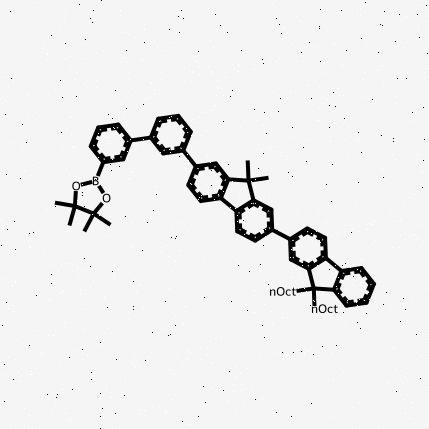 CCCCCCCCC1(CCCCCCCC)c2ccccc2-c2ccc(-c3ccc4c(c3)C(C)(C)c3cc(-c5cccc(-c6cccc(B7OC(C)(C)C(C)(C)O7)c6)c5)ccc3-4)cc21